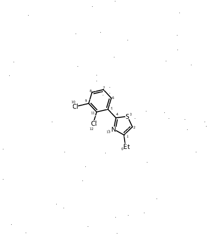 CCc1csc(-c2cccc(Cl)c2Cl)n1